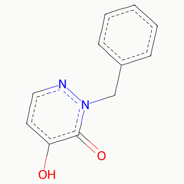 O=c1c(O)ccnn1Cc1ccccc1